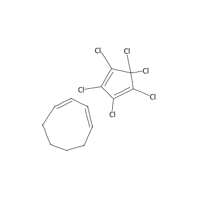 C1=CCCCCC=C1.ClC1=C(Cl)C(Cl)(Cl)C(Cl)=C1Cl